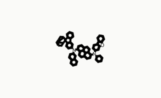 c1ccc(N(c2ccc3c(c2)oc2ccccc23)c2ccc3ccc4c(N(c5ccc6c(c5)-c5ccccc5C65C6CC7CC(C6)CC5C7)c5ccc6ccccc6c5)ccc5ccc2c3c54)cc1